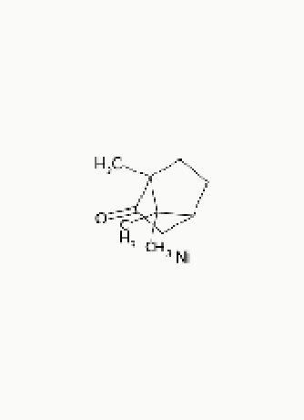 CC12CCC(CC1=O)C2(C)C.[Ni]